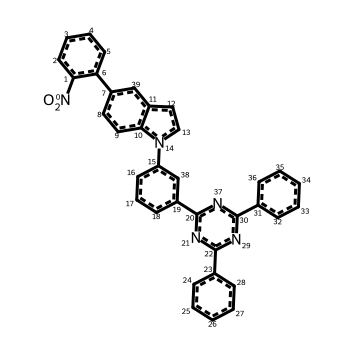 O=[N+]([O-])c1ccccc1-c1ccc2c(ccn2-c2cccc(-c3nc(-c4ccccc4)nc(-c4ccccc4)n3)c2)c1